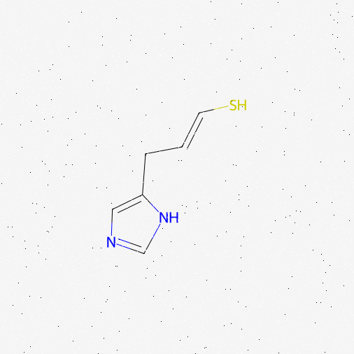 SC=CCc1cnc[nH]1